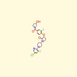 O=C(c1ccc(OC2CCN(C3CCN(c4ncc(Cl)cc4F)CC3)C2=O)c(F)c1)N1CC[C@@H](O)C1